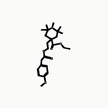 CCOC(=O)C1(CCOC(=O)Cc2ccc(OC)cc2)CC(C)(C)N(C)C(C)(C)C1